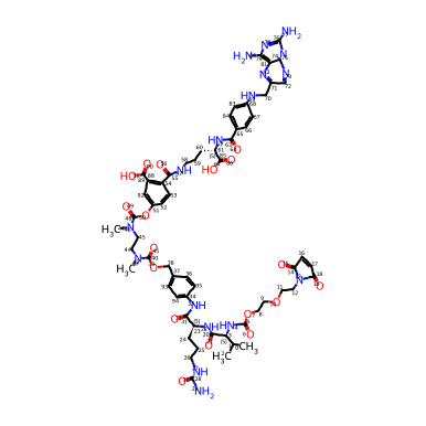 CC(C)[C@H](NC(=O)OCCOCCN1C(=O)C=CC1=O)C(=O)N[C@@H](CCCNC(N)=O)C(=O)Nc1ccc(COC(=O)N(C)CCN(C)C(=O)Oc2ccc(C(=O)NCCC[C@H](NC(=O)c3ccc(NCc4cnc5nc(N)nc(N)c5n4)cc3)C(=O)O)c(C(=O)O)c2)cc1